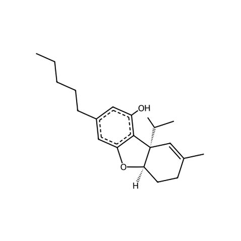 CCCCCc1cc(O)c2c(c1)O[C@@H]1CCC(C)=C[C@]21C(C)C